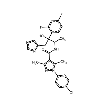 Cc1nn(-c2ccc(Cl)cc2)c(C)c1C(=O)NC(C)C(O)(Cn1cncn1)c1ccc(F)cc1F